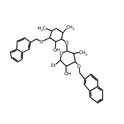 CCC1OC(OC2C(C)CC(C)C(OCc3ccc4ccccc4c3)C2O)C(C)C(OCc2ccc3ccccc3c2)C1O